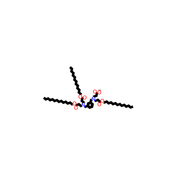 CCCCCCCCCCCCCCOC(=O)CCN(CCC(=O)OC)Cc1cccc(CN(CCC(=O)OCCCCCCCCCCCCCC)CCC(=O)OCCCCCCCCCCCCCC)c1